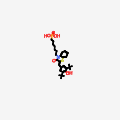 CC(C)(C)c1cc(/C=C2\Sc3ccccc3N(CCCCCCCP(=O)(O)O)C2=O)cc(C(C)(C)C)c1O